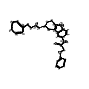 O=C(COc1ccccc1)Nc1ccc2[nH]c3c(c2c1)CC(CNCCc1ccccc1)CC3